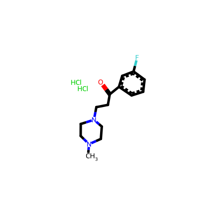 CN1CCN(CCC(=O)c2cccc(F)c2)CC1.Cl.Cl